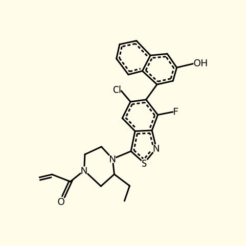 C=CC(=O)N1CCN(c2snc3c(F)c(-c4cc(O)cc5ccccc45)c(Cl)cc23)C(CC)C1